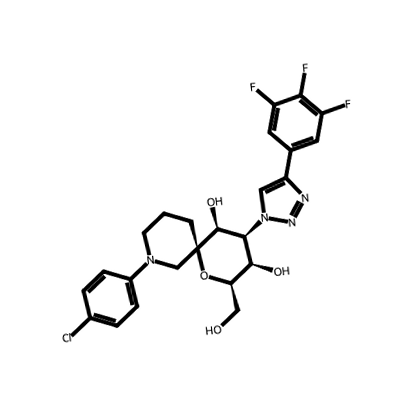 OC[C@H]1O[C@@]2(CCCN(c3ccc(Cl)cc3)C2)[C@@H](O)[C@@H](n2cc(-c3cc(F)c(F)c(F)c3)nn2)[C@H]1O